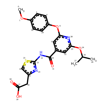 COc1ccc(Oc2cc(C(=O)Nc3nc(CC(=O)O)cs3)cc(OC(C)C)n2)cc1